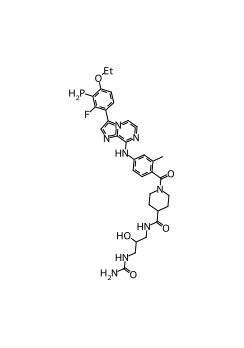 CCOc1ccc(-c2cnc3c(Nc4ccc(C(=O)N5CCC(C(=O)NCC(O)CNC(N)=O)CC5)c(C)c4)nccn23)c(F)c1P